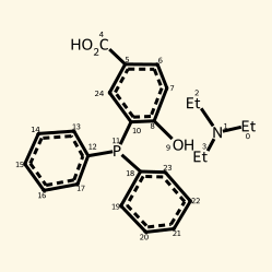 CCN(CC)CC.O=C(O)c1ccc(O)c(P(c2ccccc2)c2ccccc2)c1